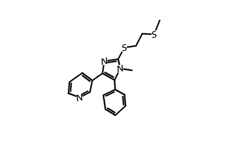 CSCCSc1nc(-c2cccnc2)c(-c2ccccc2)n1C